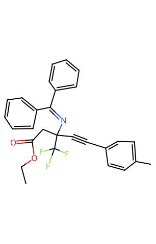 CCOC(=O)CC(C#Cc1ccc(C)cc1)(N=C(c1ccccc1)c1ccccc1)C(F)(F)F